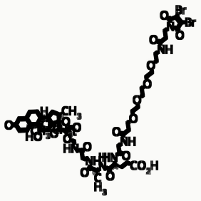 CCC(=O)O[C@]1(C(=O)COCNC(=O)CNC(=O)[C@H](C)NC(=O)[C@H](CCC(=O)O)NC(=O)CNC(=O)CCOCCOCCOCCOCCNC(=O)CCN2C(=O)C(Br)=C(Br)C2=O)[C@@H](C)CC2[C@@H]3CCC4=CC(=O)C=C[C@]4(C)[C@@]3(Cl)[C@@H](O)C[C@@]21C